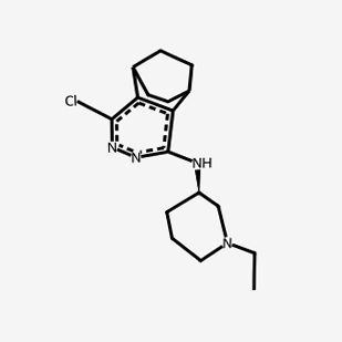 CCN1CCC[C@@H](Nc2nnc(Cl)c3c2C2CCC3CC2)C1